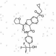 CC(O)(c1ccc(NC(=O)C2c3ccc(S(=O)(=O)CC4CC4)cc3CN2C(=O)C2CCCO2)cc1)C(F)(F)F